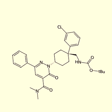 CN(C)C(=O)c1cc(-c2ccccc2)nn([C@H]2CC[C@@](CNC(=O)OC(C)(C)C)(c3cccc(Cl)c3)CC2)c1=O